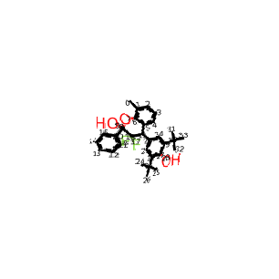 Cc1cccc2c1OC(O)(c1ccccc1)C(F)(F)C2c1cc(C(C)(C)C)c(O)c(C(C)(C)C)c1